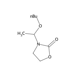 CCCCOC(C)N1CCOC1=O